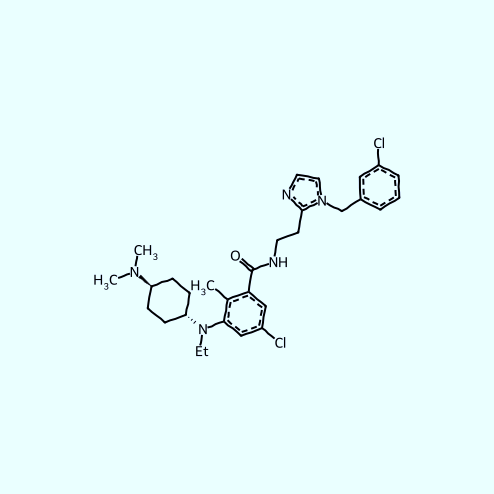 CCN(c1cc(Cl)cc(C(=O)NCCc2nccn2Cc2cccc(Cl)c2)c1C)[C@H]1CC[C@H](N(C)C)CC1